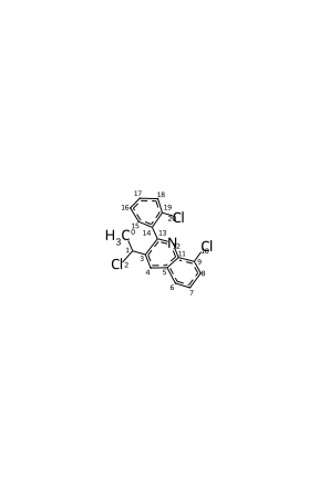 CC(Cl)c1cc2cccc(Cl)c2nc1-c1ccccc1Cl